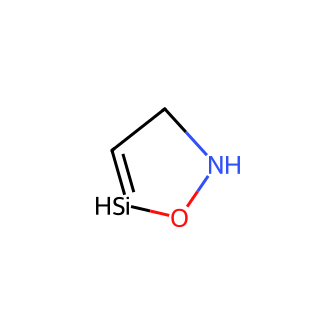 C1=[SiH]ONC1